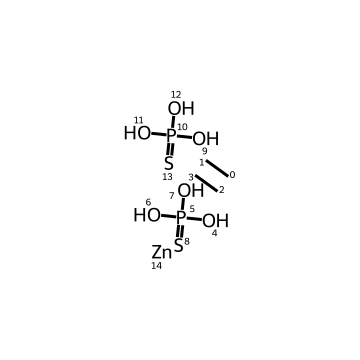 CC.CC.OP(O)(O)=S.OP(O)(O)=S.[Zn]